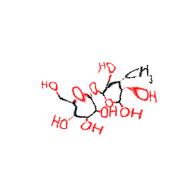 C[C@@H]1[C@H](O)[C@@H](O)OC(O[C@H]2O[C@H](CO)[C@@H](O)[C@H](O)[C@@H]2O)[C@H]1O